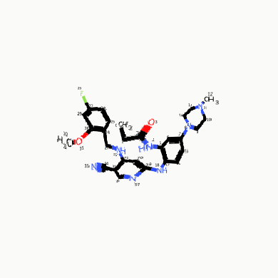 C=CC(=O)Nc1cc(N2CCN(C)CC2)ccc1Nc1cc(NCc2ccc(F)cc2OC)c(C#N)cn1